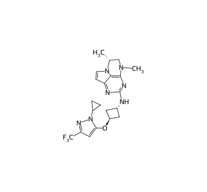 C[C@@H]1CN(C)c2nc(N[C@H]3C[C@H](Oc4cc(C(F)(F)F)nn4C4CC4)C3)nc3ccn1c23